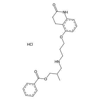 CC(CNCCCOc1cccc2c1CCC(=O)N2)COC(=O)c1ccccc1.Cl